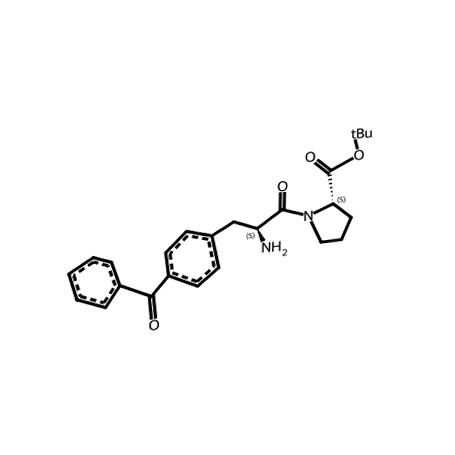 CC(C)(C)OC(=O)[C@@H]1CCCN1C(=O)[C@@H](N)Cc1ccc(C(=O)c2ccccc2)cc1